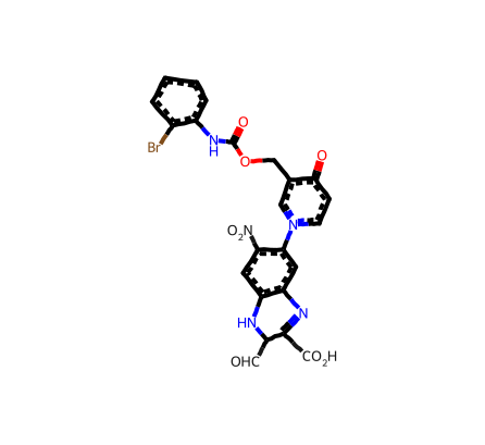 O=CC1Nc2cc([N+](=O)[O-])c(-n3ccc(=O)c(COC(=O)Nc4ccccc4Br)c3)cc2N=C1C(=O)O